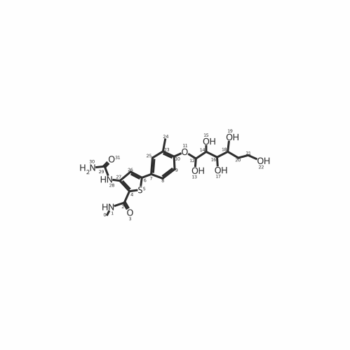 CNC(=O)c1sc(-c2ccc(OC(O)C(O)C(O)C(O)CCO)c(C)c2)cc1NC(N)=O